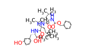 CC(C)C[C@@H](NC(=O)OCc1ccccc1)C(=O)N[C@@](CC[Si](C)(C)C)(CC(C)C)C(=O)N[C@@H](Cc1cccc(O)c1)C(=O)O